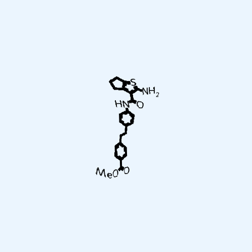 COC(=O)c1ccc(CCc2ccc(NC(=O)c3c(N)sc4c3CCC4)cc2)cc1